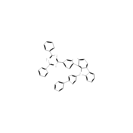 c1ccc(-c2ccc(-n3c4ccccc4c4ccc5oc6cc(-c7nc(-c8ccccc8)nc(-c8ccccc8)n7)ccc6c5c43)cc2)cc1